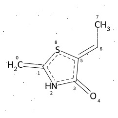 C=c1[nH]c(=O)/c(=C/C)s1